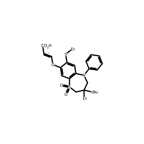 CCCCC1(CC)CN(c2ccccc2)c2cc(SCC)c(O/C=C/C(=O)O)cc2S(=O)(=O)C1